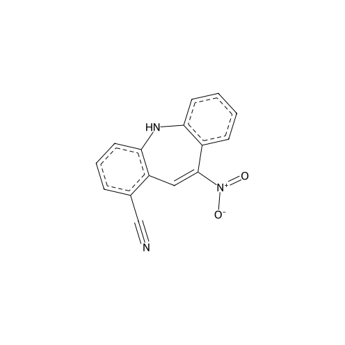 N#Cc1cccc2c1C=C([N+](=O)[O-])c1ccccc1N2